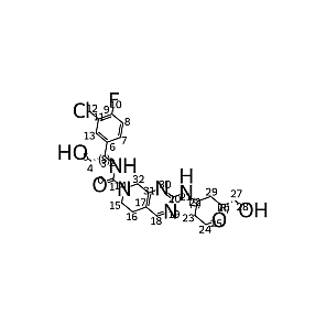 O=C(N[C@H](CO)c1ccc(F)c(Cl)c1)N1CCc2cnc(N[C@H]3CCO[C@@H](CO)C3)nc2C1